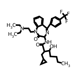 CCCCC(O)C(CC1CC1)C(=O)NC1N=C(c2ccc(C(F)(F)F)cc2)c2ccccc2N(CCN(CC)CC)C1=O